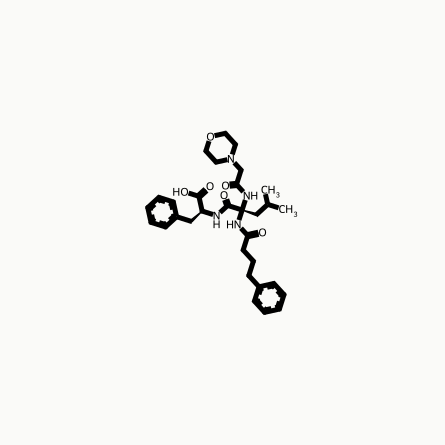 CC(C)C[C@](NC(=O)CCCc1ccccc1)(NC(=O)CN1CCOCC1)C(=O)N[C@@H](Cc1ccccc1)C(=O)O